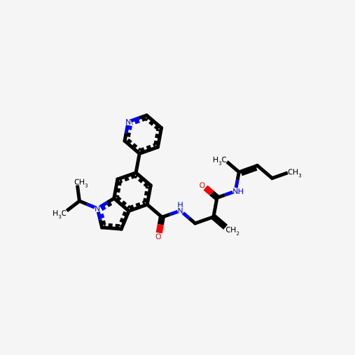 C=C(CNC(=O)c1cc(-c2cccnc2)cc2c1ccn2C(C)C)C(=O)N/C(C)=C\CC